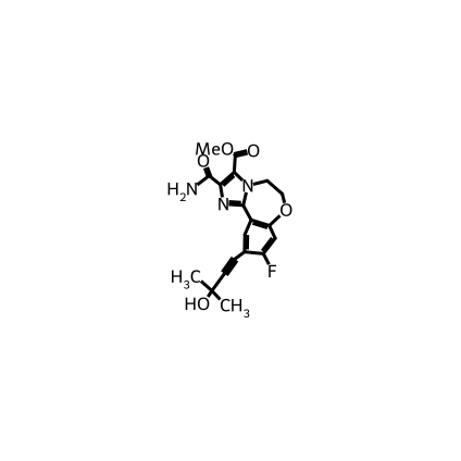 COC(=O)c1c(C(N)=O)nc2n1CCOc1cc(F)c(C#CC(C)(C)O)cc1-2